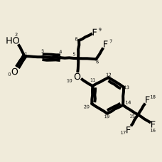 O=C(O)C#CC(CF)(CF)Oc1ccc(C(F)(F)F)cc1